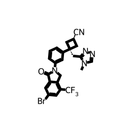 Cn1cnnc1C[C@]1(c2cccc(N3Cc4c(cc(Br)cc4C(F)(F)F)C3=O)c2)C[C@H](C#N)C1